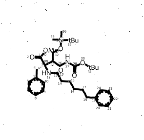 COC(=O)[C@](Cc1ccccc1)(NC(=O)CCCCCc1ccccc1)C(CNC(=O)OC(C)(C)C)CO[Si](C)(C)C(C)(C)C